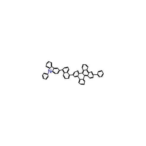 c1ccc(-c2ccc3c(c2)c2ccccc2c2c4ccc(-c5cccc6c(-c7ccc8c(c7)c7ccccc7n8-c7ccccc7)cccc56)cc4c4ccccc4c32)cc1